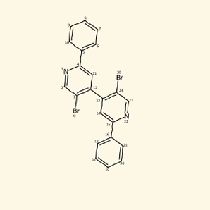 Brc1cnc(-c2ccccc2)cc1-c1cc(-c2ccccc2)ncc1Br